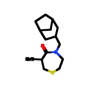 CNC1CSCCN(CC2CC3CCC(C3)C2)C1=O